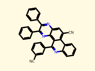 N#Cc1cccc(-c2nc3ccccc3c3c(C#N)cc4nc(-c5ccccc5)c(-c5ccccc5)nc4c23)c1